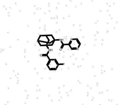 O=C(NC12CC3CC(C1)CC(NC(=O)c1cnccn1)(C3)C2)c1cccc(F)c1